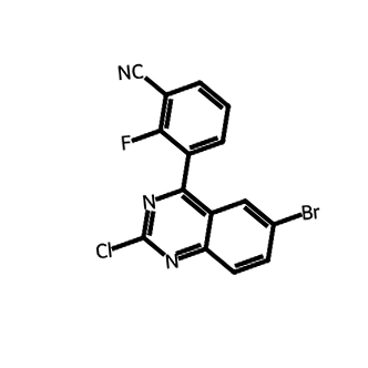 N#Cc1cccc(-c2nc(Cl)nc3ccc(Br)cc23)c1F